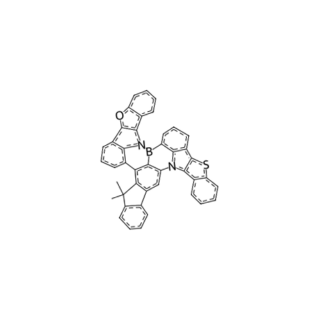 CC1(C)c2ccccc2-c2cc3c4c(c21)-c1cccc2c5oc6ccccc6c5n(c12)B4c1cccc2c4sc5ccccc5c4n-3c12